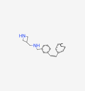 C(=C/c1cccc(CNCC2CNC2)c1)/c1ccccc1